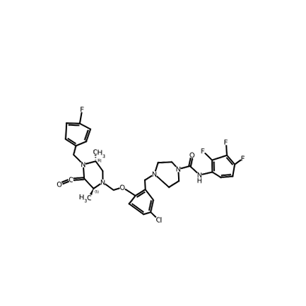 C[C@@H]1CN(COc2ccc(Cl)cc2CN2CCN(C(=O)Nc3ccc(F)c(F)c3F)CC2)[C@@H](C)C(=C=O)N1Cc1ccc(F)cc1